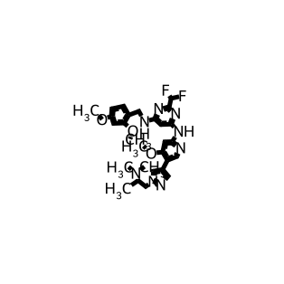 COc1ccc(CNc2cc(Nc3cc(OC)c(-c4cnn(CC(C)N(C)C)c4)cn3)nc(C(F)F)n2)c(OC)c1